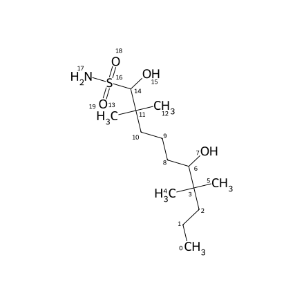 CCCC(C)(C)C(O)CCCC(C)(C)C(O)S(N)(=O)=O